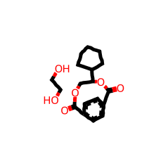 O=C1OCC(C2CCCCC2)OC(=O)c2ccc1cc2.OCCO